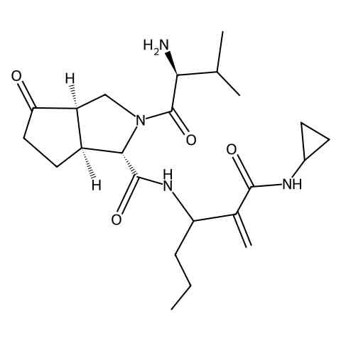 C=C(C(=O)NC1CC1)C(CCC)NC(=O)[C@@H]1[C@H]2CCC(=O)[C@H]2CN1C(=O)[C@@H](N)C(C)C